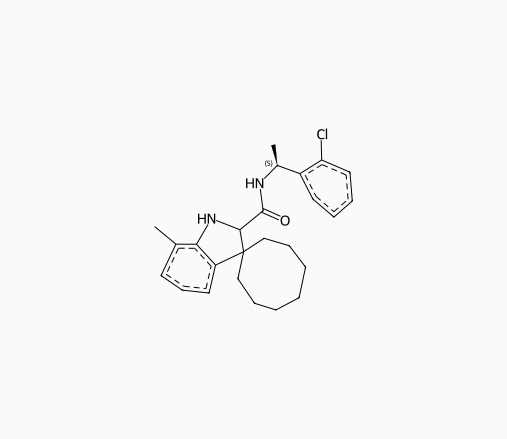 Cc1cccc2c1NC(C(=O)N[C@@H](C)c1ccccc1Cl)C21CCCCCCC1